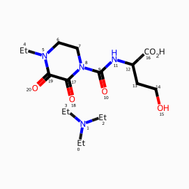 CCN(CC)CC.CCN1CCN(C(=O)NC(CCO)C(=O)O)C(=O)C1=O